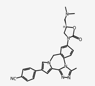 Cc1nnc2n1-c1ccc(N3C[C@@H](CN(C)C)OC3=O)cc1Cn1cc(-c3ccc(C#N)cc3)cc1-2